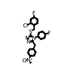 C=[N+]([O-])c1ccc(Cc2nnc(SCc3ccc(F)cc3Cl)n2-c2ccc(F)cc2)cc1